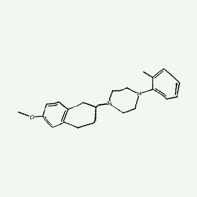 COc1ccc2c(c1)CCC(N1CCN(c3ccccc3C)CC1)C2